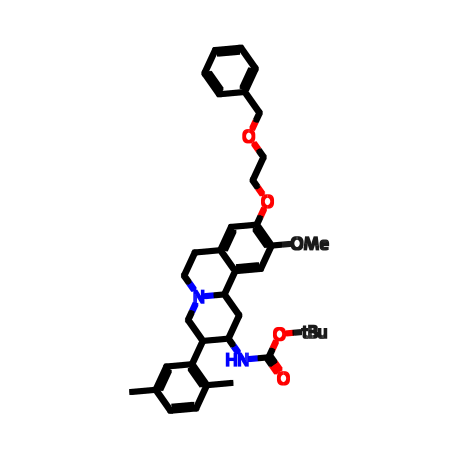 COc1cc2c(cc1OCCOCc1ccccc1)CCN1CC(c3cc(C)ccc3C)C(NC(=O)OC(C)(C)C)CC21